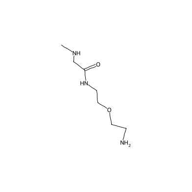 CNCC(=O)NCCOCCN